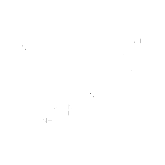 CCNC(=O)Nc1cc2c(-c3ccnc(C)c3)ccc(C(N)=O)c2cn1